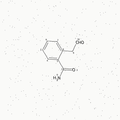 NC(=O)c1ccccc1CC=O